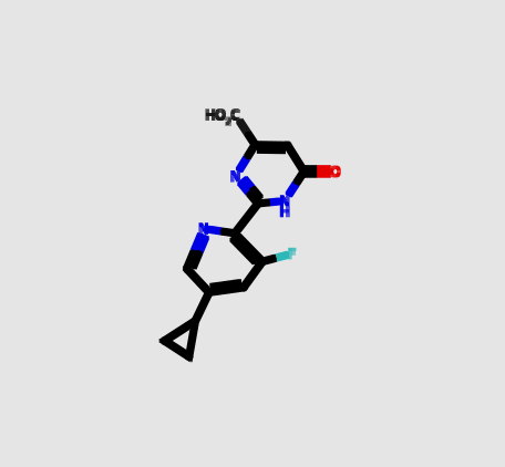 O=C(O)c1cc(=O)[nH]c(-c2ncc(C3CC3)cc2F)n1